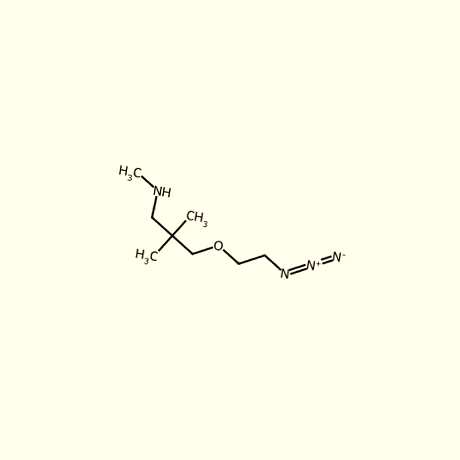 CNCC(C)(C)COCCN=[N+]=[N-]